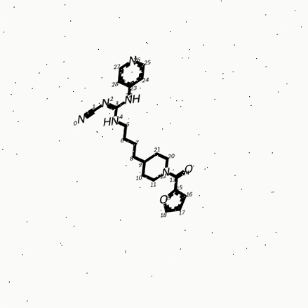 N#C/N=C(\NCCCCC1CCN(C(=O)c2ccco2)CC1)Nc1ccncc1